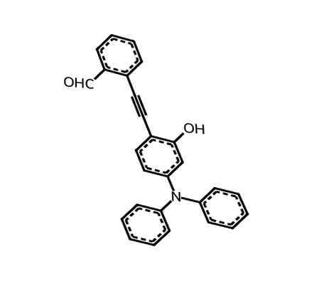 O=Cc1ccccc1C#Cc1ccc(N(c2ccccc2)c2ccccc2)cc1O